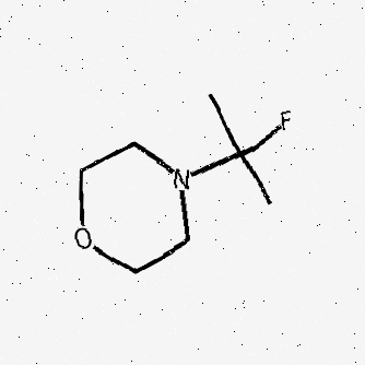 CC(C)(F)N1CCOCC1